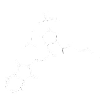 C=CCOC(=O)N1C[C@@H](C(C)(C)C)C[C@]1(O[SiH](C)C)/C(Cl)=C\CN1C(=O)c2ccccc2C1=O